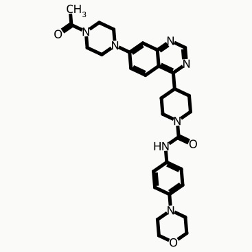 CC(=O)N1CCN(c2ccc3c(C4CCN(C(=O)Nc5ccc(N6CCOCC6)cc5)CC4)ncnc3c2)CC1